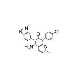 Cc1ccc2c(N)c(-c3ccc4ncn(C)c4c3)c(=O)n(-c3ccc(Cl)cc3)c2n1